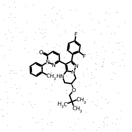 Cc1ccccc1-n1nc(-c2c(-c3ccc(F)cc3F)nn3c2NC[C@H](OCC(C)(C)C)C3)ccc1=O